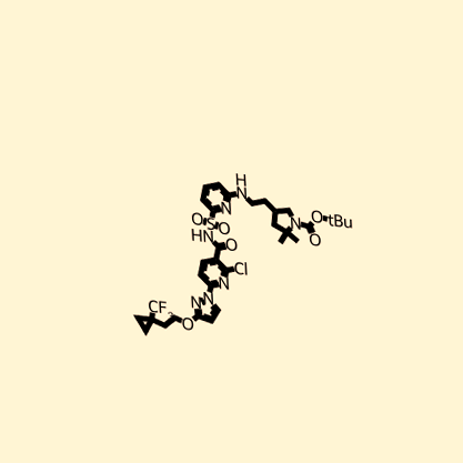 CC(C)(C)OC(=O)N1CC(CCNc2cccc(S(=O)(=O)NC(=O)c3ccc(-n4ccc(OCCC5(C(F)(F)F)CC5)n4)nc3Cl)n2)CC1(C)C